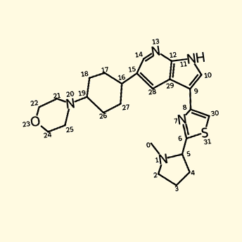 CN1CCCC1c1nc(-c2c[nH]c3ncc(C4CCC(N5CCOCC5)CC4)cc23)cs1